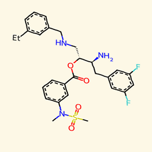 CCc1cccc(CNC[C@@H](OC(=O)c2cccc(N(C)S(C)(=O)=O)c2)[C@@H](N)Cc2cc(F)cc(F)c2)c1